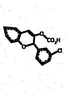 O=C(O)OC1=Cc2ccccc2OC1c1cccc(Cl)c1